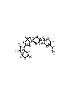 CC1(C)OC(=C2C(=O)Nc3ccc(F)cc32)C=C1c1ccc(CN2CCN(CCO)CC2)cc1